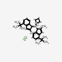 CC1=Cc2c(cccc2C(C)(C)C)[CH]1[Hf+2]([CH]1C(C)=Cc2c1cccc2C(C)(C)C)=[Si]1CCC1.[Cl-].[Cl-]